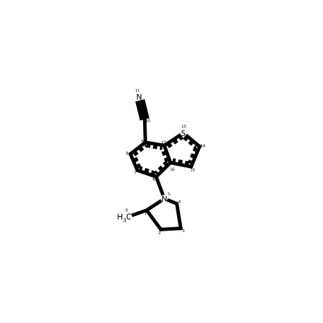 CC1CCCN1c1ccc(C#N)c2sccc12